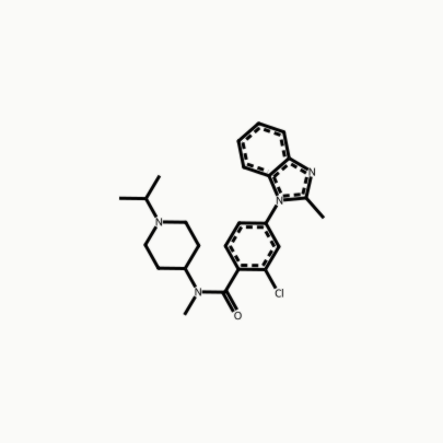 Cc1nc2ccccc2n1-c1ccc(C(=O)N(C)C2CCN(C(C)C)CC2)c(Cl)c1